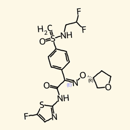 C=S(=O)(NCC(F)F)c1ccc(/C(=N\O[C@@H]2CCOC2)C(=O)Nc2ncc(F)s2)cc1